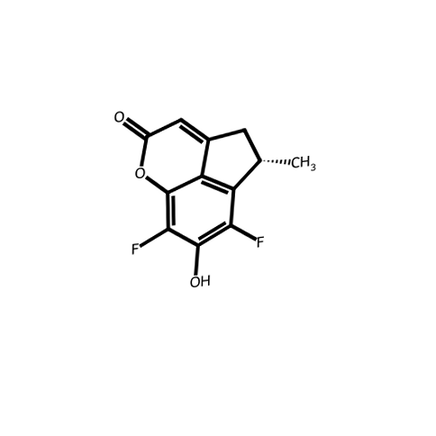 C[C@H]1Cc2cc(=O)oc3c(F)c(O)c(F)c1c23